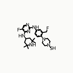 CC1(C)CC(Nc2nc(Nc3ccc(N4CCN(S)CC4)c(CF)c3)ncc2F)CC(C)(C)N1